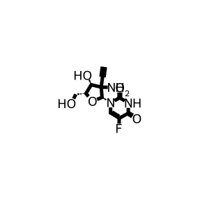 C#CC1(N)[C@@H](O)[C@@H](CO)O[C@H]1n1cc(F)c(=O)[nH]c1=O